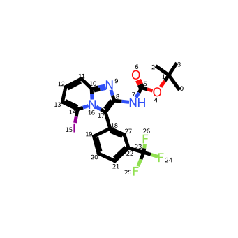 CC(C)(C)OC(=O)Nc1nc2cccc(I)n2c1-c1cccc(C(F)(F)F)c1